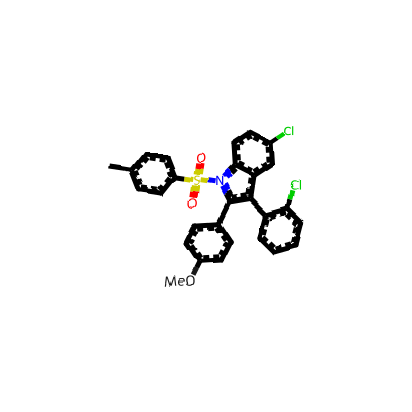 COc1ccc(-c2c(-c3ccccc3Cl)c3cc(Cl)ccc3n2S(=O)(=O)c2ccc(C)cc2)cc1